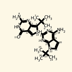 CC(C)(C)C1=c2nc(N)[nH]c(=O)c2=C[SH]1c1nc(N)c2ccn(C(C)(C)C)c2n1